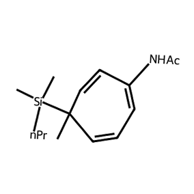 CCC[Si](C)(C)C1(C)C=CC=C(NC(C)=O)C=C1